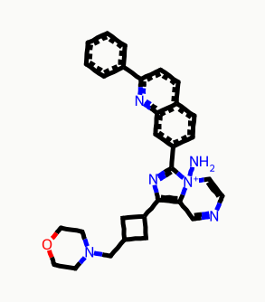 N[N+]12C=CN=CC1=C(C1CC(CN3CCOCC3)C1)N=C2c1ccc2ccc(-c3ccccc3)nc2c1